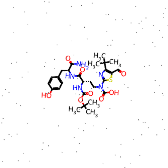 CC(C)(C)OC(=O)N[C@@H](CCN(C(=O)O)c1nc(C(C)(C)C)c(C=O)s1)C(=O)N[C@@H](Cc1ccc(O)cc1)C(N)=O